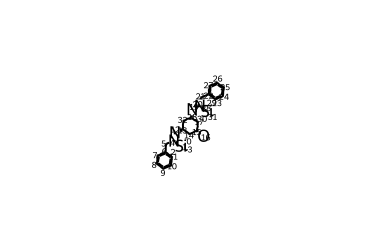 C[Si](C)(C)N(Cc1ccccc1)N=C1CC(=O)CC(=NN(Cc2ccccc2)[Si](C)(C)C)C1